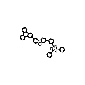 c1ccc(-c2nc(-c3ccccc3)nc(-c3cccc(-c4ccc5c(c4)oc4ccc(-c6ccc7c8ccccc8c8ccccc8c7c6)cc45)c3)n2)cc1